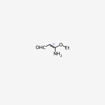 CCO/C(N)=C/C=O